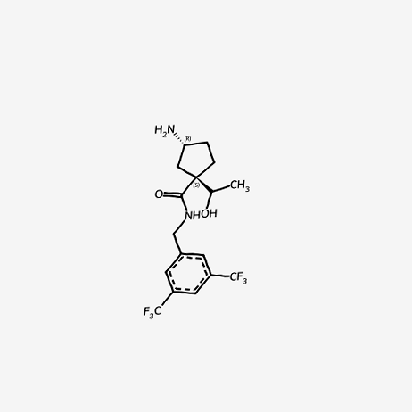 CC(O)[C@]1(C(=O)NCc2cc(C(F)(F)F)cc(C(F)(F)F)c2)CC[C@@H](N)C1